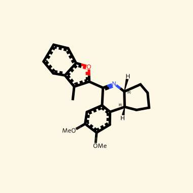 COc1cc2c(cc1OC)[C@H]1CCCC[C@H]1N=C2c1oc2ccccc2c1C